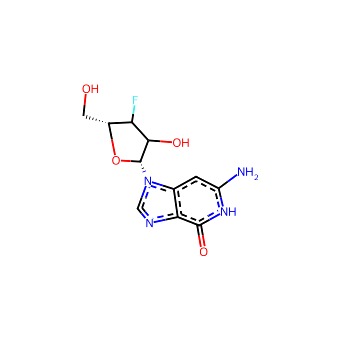 Nc1cc2c(ncn2[C@@H]2O[C@H](CO)C(F)C2O)c(=O)[nH]1